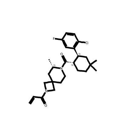 C=CC(=O)N1CC2(CCN(C(=O)[C@H]3CCC(C)(C)C[C@@H]3c3cc(F)ccc3Cl)[C@@H](C)C2)C1